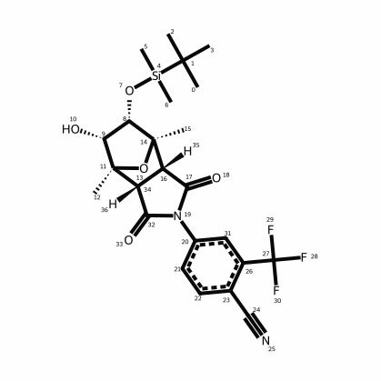 CC(C)(C)[Si](C)(C)O[C@H]1[C@@H](O)[C@@]2(C)O[C@]1(C)[C@@H]1C(=O)N(c3ccc(C#N)c(C(F)(F)F)c3)C(=O)[C@@H]12